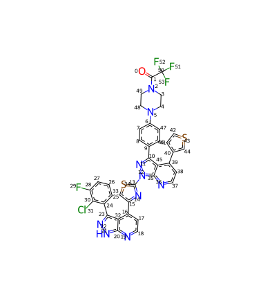 O=C(N1CCN(c2ccc(-c3nn(-c4nc(-c5ccnc6[nH]nc(-c7cccc(F)c7Cl)c56)cs4)c4nccc(-c5ccsc5)c34)cc2)CC1)C(F)(F)F